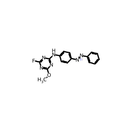 COc1nc(F)nc(Nc2ccc(/N=N/c3ccccc3)cc2)n1